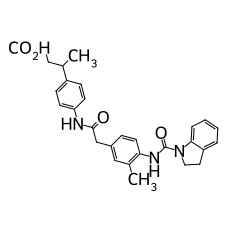 Cc1cc(CC(=O)Nc2ccc(C(C)CC(=O)O)cc2)ccc1NC(=O)N1CCc2ccccc21